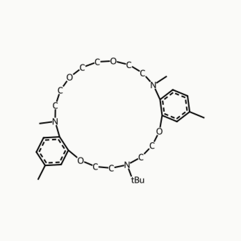 Cc1ccc2c(c1)OCCN(C(C)(C)C)CCOc1cc(C)ccc1N(C)CCOCCOCCN2C